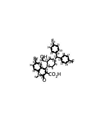 Cn1c(=O)c(C(=O)O)c(N2CCN(C(c3ccc(F)cc3)c3ccc(F)cc3)C[C@@H]2CO)c2nc(Br)ccc21